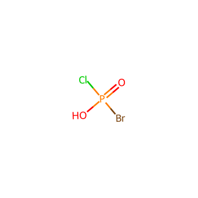 O=P(O)(Cl)Br